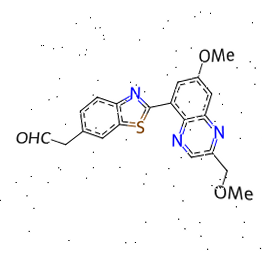 COCc1cnc2c(-c3nc4ccc(CC=O)cc4s3)cc(OC)cc2n1